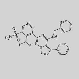 NS(=O)(=O)c1cncc(-c2nc(NCc3ccccn3)c3c(-c4ccccc4)ccn3n2)c1C(F)F